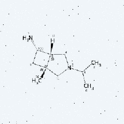 CC(C)N1C[C@H]2[C@@H](N)C[C@@]2(C)C1